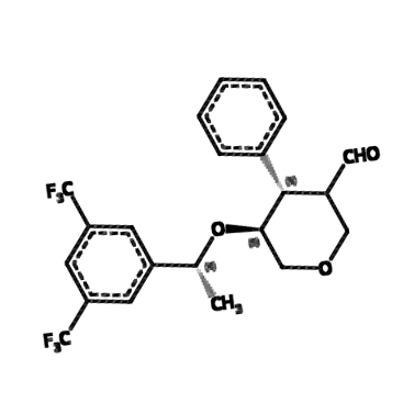 C[C@@H](O[C@@H]1COCC(C=O)[C@H]1c1ccccc1)c1cc(C(F)(F)F)cc(C(F)(F)F)c1